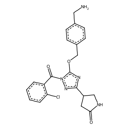 NCc1ccc(COc2nc(C3CNC(=O)C3)nn2C(=O)c2ccccc2Cl)cc1